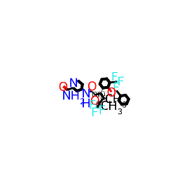 C[C@H]1[C@@H](c2cccc(C(F)(F)F)c2OCc2ccccc2)[C@H](C(=O)Nc2ccnc(C(N)=O)c2)O[C@@]1(C)C(F)(F)F